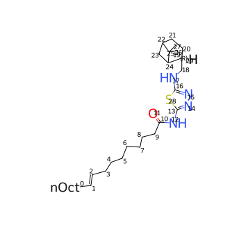 CCCCCCCCC=CCCCCCCCC(=O)Nc1nnc(NC[C@@H]2CCC3CC2C3(C)C)s1